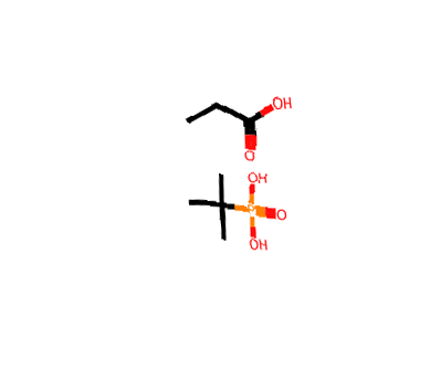 CC(C)(C)P(=O)(O)O.CCC(=O)O